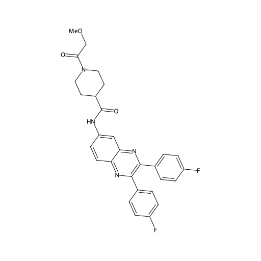 COCC(=O)N1CCC(C(=O)Nc2ccc3nc(-c4ccc(F)cc4)c(-c4ccc(F)cc4)nc3c2)CC1